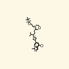 Cc1ncc2c(Cl)cc(C3CN(C(CC[C@@H]4COCCN4CCO[Si](C)(C)C(C)(C)C)C(C)C)C3)cn12